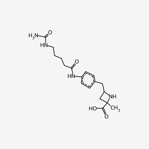 CC1(C(=O)O)CC(Cc2ccc(NC(=O)CCCCNC(N)=O)cc2)N1